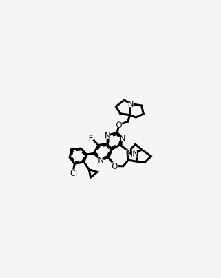 Fc1c(-c2cccc(Cl)c2C2CC2)nc2c3c(nc(OCC45CCCN4CCC5)nc13)N1CC3CCC(N3)C1CO2